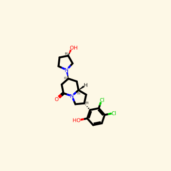 O=C1C[C@@H](N2CC[C@@H](O)C2)C[C@@H]2C[C@H](c3c(O)ccc(Cl)c3Cl)CN12